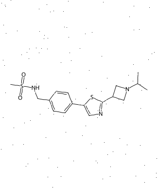 CC(C)N1CC(c2ncc(-c3ccc(CNS(C)(=O)=O)cc3)s2)C1